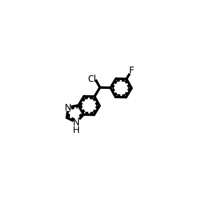 Fc1cccc(C(Cl)c2ccc3[nH]cnc3c2)c1